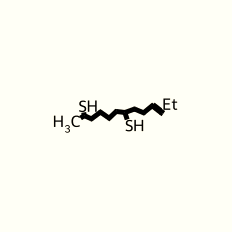 CC/C=C/CCC(S)CCCCC(C)S